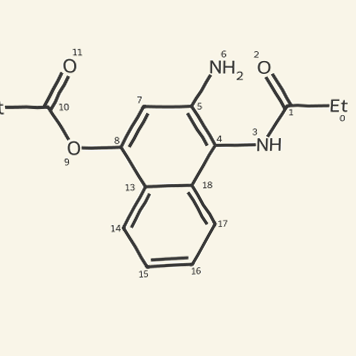 CCC(=O)Nc1c(N)cc(OC(=O)CC)c2ccccc12